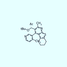 CC(=O)[C@@H](OC(C)(C)C)c1c(C)nc2sc3c(c2c1-c1cnccc1C)CCCC3